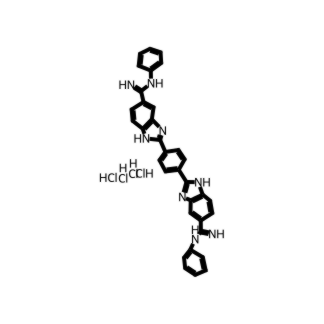 Cl.Cl.Cl.Cl.N=C(Nc1ccccc1)c1ccc2[nH]c(-c3ccc(-c4nc5cc(C(=N)Nc6ccccc6)ccc5[nH]4)cc3)nc2c1